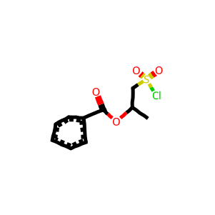 CC(CS(=O)(=O)Cl)OC(=O)c1ccccc1